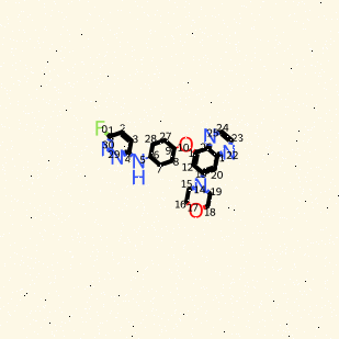 Fc1ccc(N[C@H]2CC[C@@H](Oc3cc(N4CCOCC4)cc4nccnc34)CC2)nn1